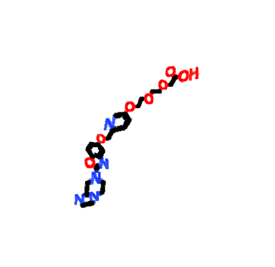 O=C(O)COCCOCCOc1ccc(COc2ccc3oc(N4CCn5ccnc5C4)nc3c2)nc1